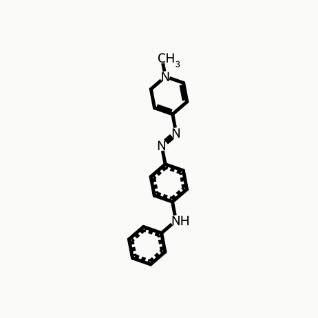 CN1C=CC(N=Nc2ccc(Nc3ccccc3)cc2)=CC1